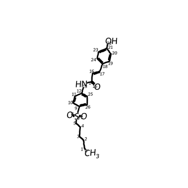 CCCCCCS(=O)(=O)c1ccc(NC(=O)/C=C/c2ccc(O)cc2)cc1